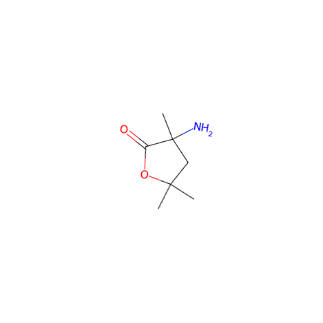 CC1(C)CC(C)(N)C(=O)O1